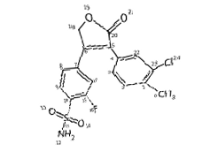 Cc1ccc(C2=C(c3ccc(S(N)(=O)=O)c(F)c3)COC2=O)cc1Cl